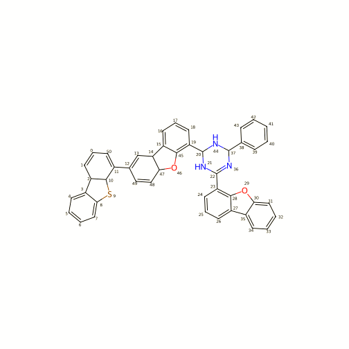 C1=CC2c3ccccc3SC2C(C2=CC3c4cccc(C5NC(c6cccc7c6oc6ccccc67)=NC(c6ccccc6)N5)c4OC3C=C2)=C1